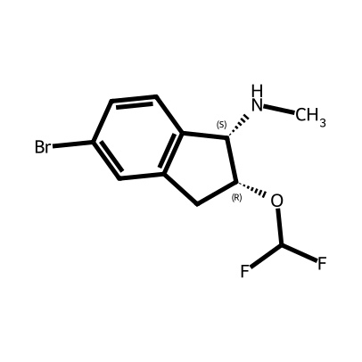 CN[C@H]1c2ccc(Br)cc2C[C@H]1OC(F)F